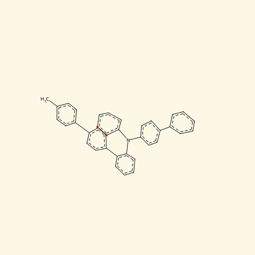 Cc1ccc(-c2ccc(-c3ccccc3N(c3ccccc3)c3ccc(-c4ccccc4)cc3)cc2)cc1